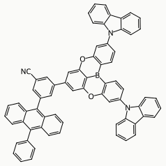 N#Cc1cc(-c2cc3c4c(c2)Oc2cc(-n5c6ccccc6c6ccccc65)ccc2B4c2ccc(-n4c5ccccc5c5ccccc54)cc2O3)cc(-c2c3ccccc3c(-c3ccccc3)c3ccccc23)c1